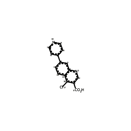 O=C(O)c1cnc2cc(-c3ccncc3)ccc2c1Cl